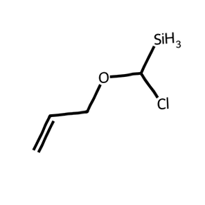 C=CCOC([SiH3])Cl